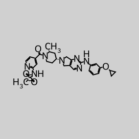 C[C@@H]1C[C@H](N2Cc3cnc(Nc4cccc(OC5CC5)c4)nc3C2)CCN1C(=O)c1ccnc(NS(C)(=O)=O)c1